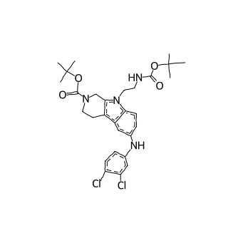 CC(C)(C)OC(=O)NCCn1c2c(c3cc(Nc4ccc(Cl)c(Cl)c4)ccc31)CCN(C(=O)OC(C)(C)C)C2